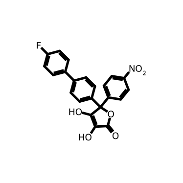 O=C1OC(c2ccc(-c3ccc(F)cc3)cc2)(c2ccc([N+](=O)[O-])cc2)C(O)=C1O